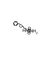 NS(=O)(=O)NCCCOCc1ccccc1